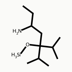 CCC(N)CC(O[SiH3])(C(C)C)C(C)C